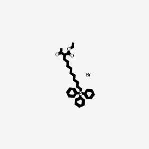 CCOC(=O)C(CCCCCCCCCC[P+](c1ccccc1)(c1ccccc1)c1ccccc1)C(C)=O.[Br-]